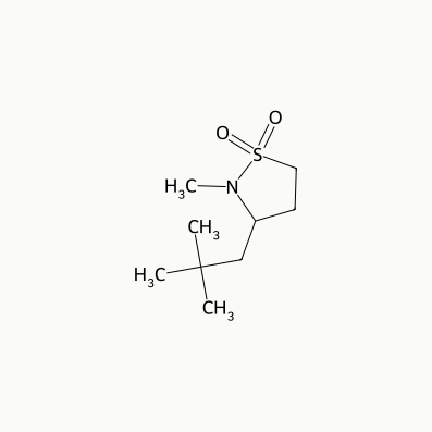 CN1C(CC(C)(C)C)CCS1(=O)=O